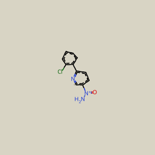 N[N+](=O)c1[c]nc(-c2ccccc2Cl)cc1